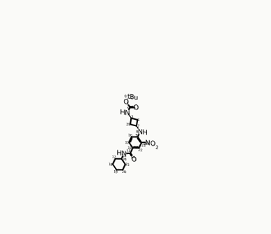 CC(C)(C)OC(=O)N[C@H]1C[C@@H](Nc2ccc(C(=O)NC3CCCCC3)cc2[N+](=O)[O-])C1